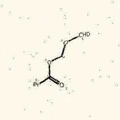 CC(C)C(=O)OCOC=O